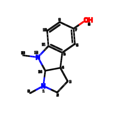 CN1CCC2c3cc(O)ccc3N(C)C21